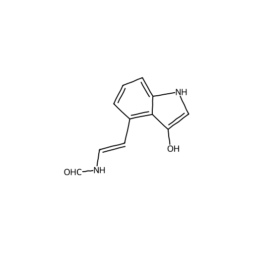 O=CNC=Cc1cccc2[nH]cc(O)c12